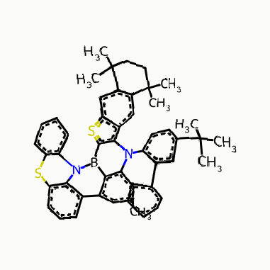 Cc1cc2c3c(c1)N(c1ccc(C(C)(C)C)cc1-c1ccccc1)c1c(sc4cc5c(cc14)C(C)(C)CCC5(C)C)B3N1c3ccccc3Sc3cccc-2c31